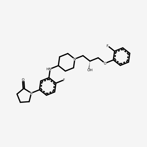 O=C1CCCN1c1ccc(F)c(NC2CCN(C[C@@H](O)COc3ccccc3F)CC2)c1